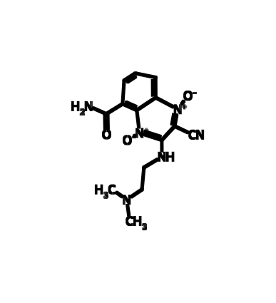 CN(C)CCNc1c(C#N)[n+]([O-])c2cccc(C(N)=O)c2[n+]1[O-]